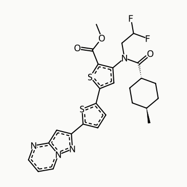 COC(=O)c1sc(-c2ccc(-c3cc4ncccn4n3)s2)cc1N(CC(F)F)C(=O)[C@H]1CC[C@H](C)CC1